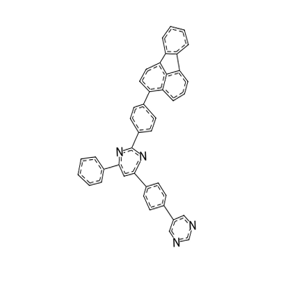 c1ccc(-c2cc(-c3ccc(-c4cncnc4)cc3)nc(-c3ccc(-c4ccc5c6c(cccc46)-c4ccccc4-5)cc3)n2)cc1